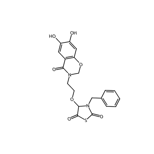 O=C1SC(=O)N(Cc2ccccc2)C1OCCN1COc2cc(O)c(O)cc2C1=O